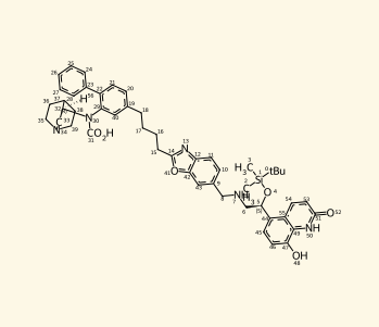 CC(C)(C)[Si](C)(C)O[C@H](CNCc1ccc2nc(CCCCc3ccc(-c4ccccc4)c(N(C(=O)O)[C@H]4CN5CCC4CC5)c3)oc2c1)c1ccc(O)c2[nH]c(=O)ccc12